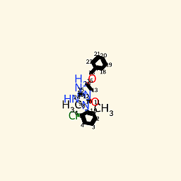 Cc1cccc(Cl)c1N(C)C(=O)N(CCOCc1ccccc1)C(=N)N